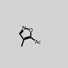 CC(=O)c1oncc1C